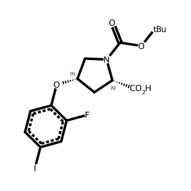 CC(C)(C)OC(=O)N1C[C@@H](Oc2ccc(I)cc2F)C[C@H]1C(=O)O